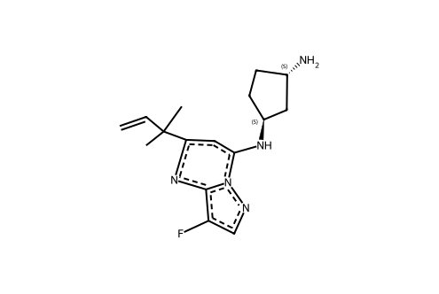 C=CC(C)(C)c1cc(N[C@H]2CC[C@H](N)C2)n2ncc(F)c2n1